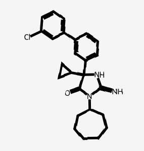 N=C1NC(c2cccc(-c3cccc(Cl)c3)c2)(C2CC2)C(=O)N1C1CCCCCC1